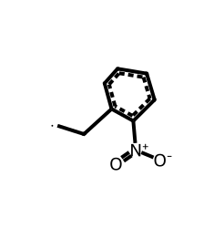 [CH2]Cc1ccccc1[N+](=O)[O-]